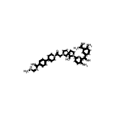 CN/C=N\C(=N)c1ccc(C2=CCN(C(=O)CN3CC[C@]4(CCN(c5ccc(N)c(C(=N)c6ccc(N)c(C(C)=N)c6)n5)C4O)C3)CC2)cc1